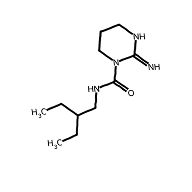 CCC(CC)CNC(=O)N1CCCNC1=N